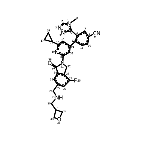 Cn1cnnc1-c1cc(C#N)ccc1-c1cc(C2CC2)nc(N2Cc3c(F)cc(CNCC4COC4)cc3C2=O)c1